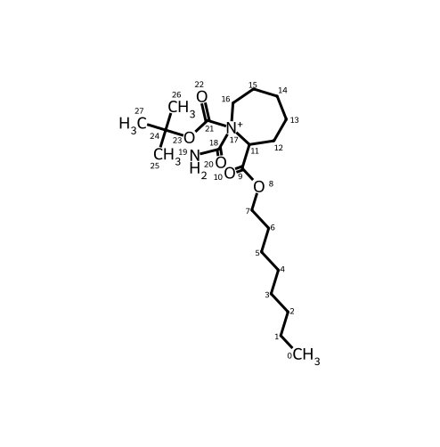 CCCCCCCCOC(=O)C1CCCCC[N+]1(C(N)=O)C(=O)OC(C)(C)C